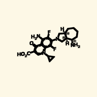 Nc1c(F)c(N2C[C@H]3CCCC[C@@H](N)[C@H]3C2)c(F)c2c1c(=O)c(C(=O)O)cn2C1CC1